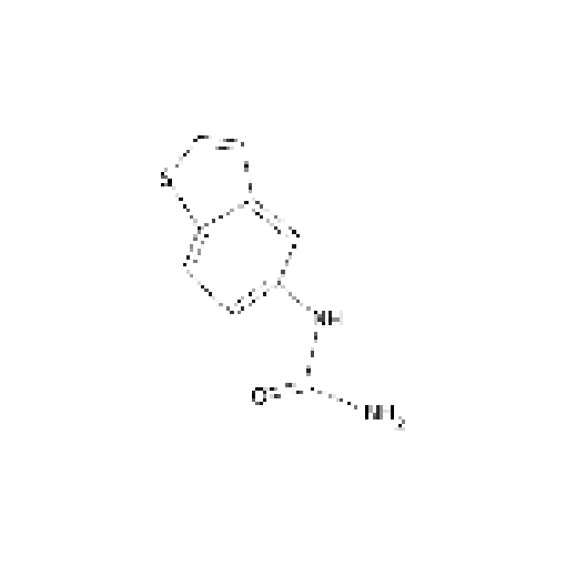 NC(=O)Nc1ccc2sccc2c1